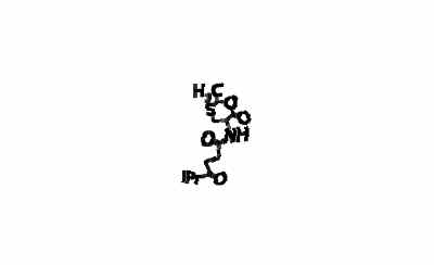 CC1OC(=O)C(NC(=O)CCC(=O)C(C)C)CS1